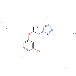 C[C@@H](Cn1cnnn1)Oc1cncc(Br)c1